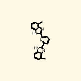 Cc1cccc2[nH]c(-c3cccc(-c4nc5c(C)cccc5[nH]4)n3)nc12